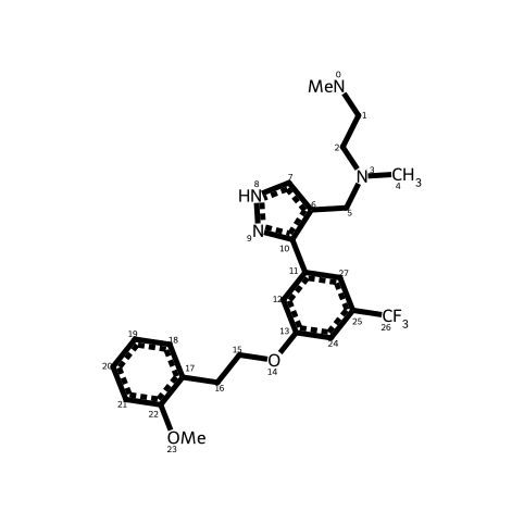 CNCCN(C)Cc1c[nH]nc1-c1cc(OCCc2ccccc2OC)cc(C(F)(F)F)c1